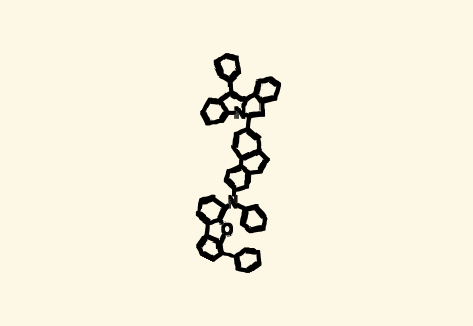 c1ccc(-c2cccc3c2oc2c(N(c4ccccc4)c4ccc5c(ccc6cc(-c7cc8ccccc8c8c(-c9ccccc9)c9ccccc9n78)ccc65)c4)cccc23)cc1